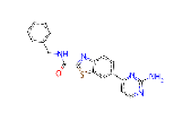 Nc1nccc(-c2ccc3nc(C(=O)NCc4ccccc4)sc3c2)n1